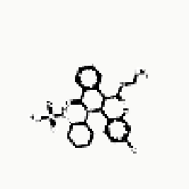 CCOC(=O)[C@@H]1c2ccccc2C(=O)N([C@H]2CCCC[C@@H]2NS(C)(=O)=O)C1c1ccc(Cl)cc1Cl